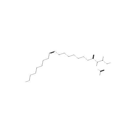 CCCCCCCC/C=C\CCCCCCCC(=O)C(OC(C)=O)C(O)CO